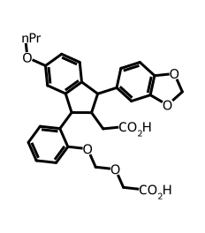 CCCOc1ccc2c(c1)C(c1ccccc1OCOCC(=O)O)C(CC(=O)O)C2c1ccc2c(c1)OCO2